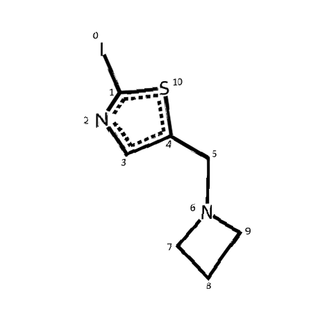 Ic1ncc(CN2CCC2)s1